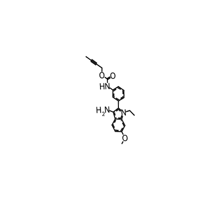 CC#CCOC(=O)Nc1cccc(-c2c(N)c3ccc(OC)cc3n2CC)c1